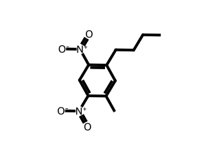 CCCCc1cc(C)c([N+](=O)[O-])cc1[N+](=O)[O-]